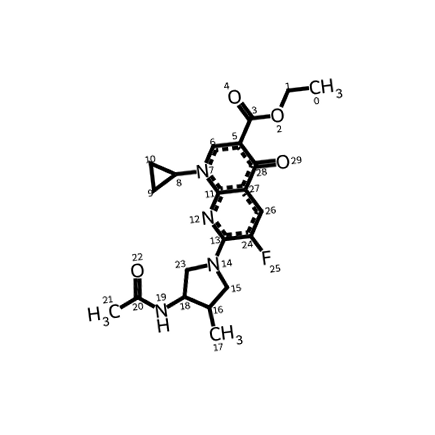 CCOC(=O)c1cn(C2CC2)c2nc(N3CC(C)C(NC(C)=O)C3)c(F)cc2c1=O